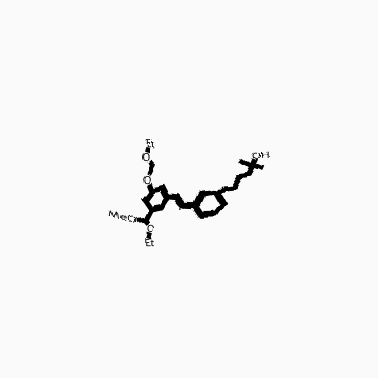 CCOCOc1cc(C=Cc2cccc(CCCCC(C)(C)O)c2)cc(C(OC)OCC)c1